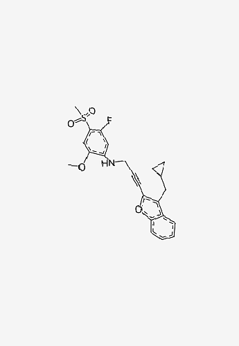 COc1cc(S(C)(=O)=O)c(F)cc1NCC#Cc1oc2ccccc2c1CC1CC1